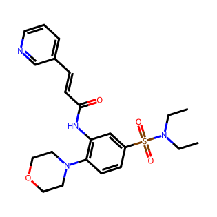 CCN(CC)S(=O)(=O)c1ccc(N2CCOCC2)c(NC(=O)/C=C/c2cccnc2)c1